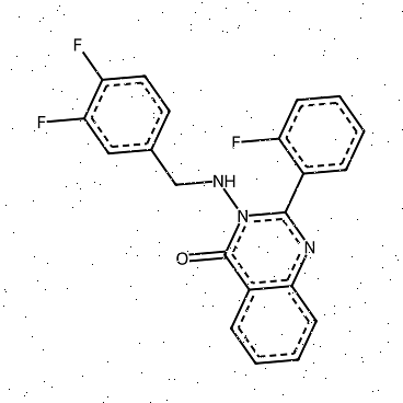 O=c1c2ccccc2nc(-c2ccccc2F)n1NCc1ccc(F)c(F)c1